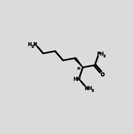 NCCCC[C@H](NN)C(=O)P